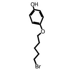 Oc1ccc(OCCCCCBr)cc1